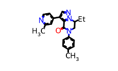 CCC1CN(c2ccc(C)cc2)C(=O)c2c(-c3ccnc(C)c3)cnn21